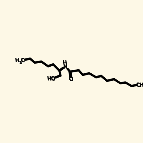 CCCCCCCCCCCC(=O)NC(CO)CCCCCC